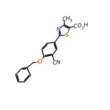 Cc1nc(-c2ccc(OCc3ccccc3)c(C#N)c2)sc1C(=O)O